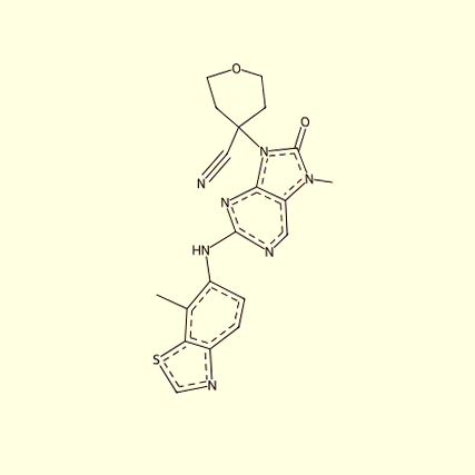 Cc1c(Nc2ncc3c(n2)n(C2(C#N)CCOCC2)c(=O)n3C)ccc2ncsc12